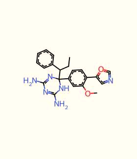 CCC(c1ccccc1)C1(c2ccc(-c3cnco3)c(OC)c2)N=C(N)N=C(N)N1